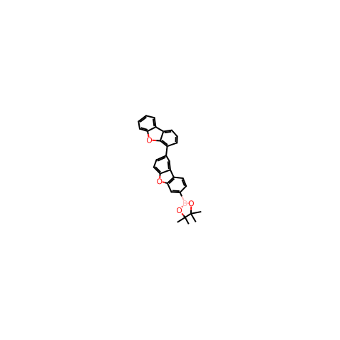 CC1(C)OB(c2ccc3c(c2)oc2ccc(-c4cccc5c4oc4ccccc45)cc23)OC1(C)C